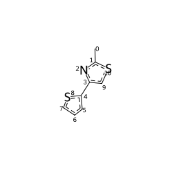 Cc1nc(-c2cccs2)cs1